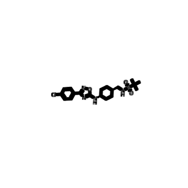 CC(C)(C)S(=O)(=O)NC[C@H]1CC[C@H](Nc2nc(-c3ccc(Cl)cc3)no2)CC1